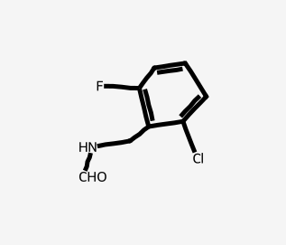 O=CNCc1c(F)cccc1Cl